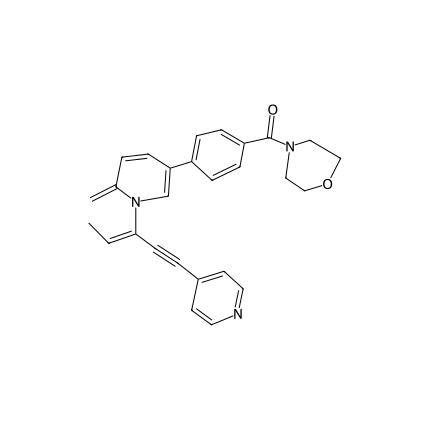 C=C1C=CC(c2ccc(C(=O)N3CCOCC3)cc2)=CN1/C(C#Cc1ccncc1)=C\C